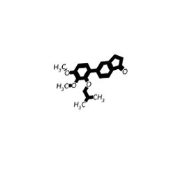 COc1ccc(-c2ccc3c(c2)CCC3=O)c(OCC(C)C)c1OC